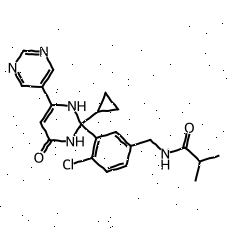 CC(C)C(=O)NCc1ccc(Cl)c(C2(C3CC3)NC(=O)C=C(c3cncnc3)N2)c1